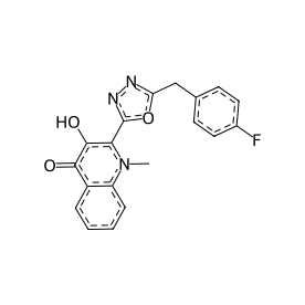 Cn1c(-c2nnc(Cc3ccc(F)cc3)o2)c(O)c(=O)c2ccccc21